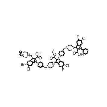 CCOC(=O)c1c(N2CCN(Cc3ccc(-n4c(C(=O)O)c(CN5CCS(=O)(=O)CC5)c5cc(Br)c(Cl)cc54)cc3)CC2)c2cc(F)c(Cl)cc2n1-c1ccc(CN2CCN(c3c(C(=O)O)n(-c4ccccc4)c4cc(Cl)c(F)cc34)CC2)cc1